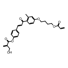 C=CC(=O)OCCCCOc1ccc(C(=O)/C=C/c2ccc(OC(=O)C(=C)CO)cc2)c(C)c1